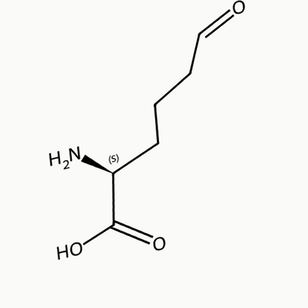 N[C@@H](CCCC=O)C(=O)O